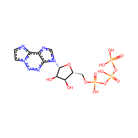 O=P(O)(O)OP(=O)(O)OP(=O)(O)OC[C@H]1O[C@@H](n2cnc3c2nnn2ccnc32)[C@H](O)[C@@H]1O